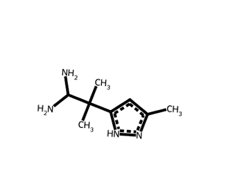 Cc1cc(C(C)(C)C(N)N)[nH]n1